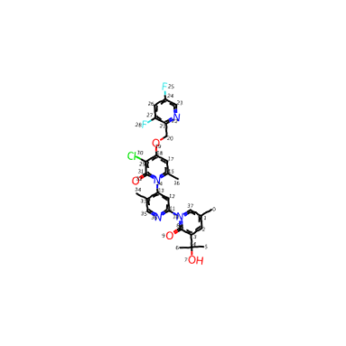 Cc1cc(C(C)(C)O)c(=O)n(-c2cc(-n3c(C)cc(OCc4ncc(F)cc4F)c(Cl)c3=O)c(C)cn2)c1